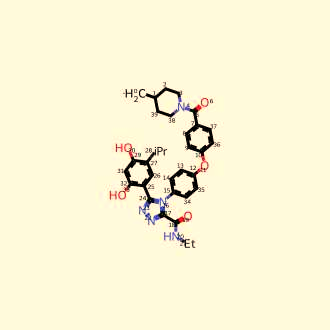 [CH2]C1CCN(C(=O)c2ccc(Oc3ccc(-n4c(C(=O)NCC)nnc4-c4cc(C(C)C)c(O)cc4O)cc3)cc2)CC1